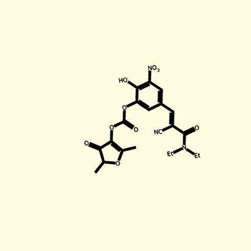 CCN(CC)C(=O)/C(C#N)=C/c1cc(OC(=O)OC2=C(C)OC(C)C2=O)c(O)c([N+](=O)[O-])c1